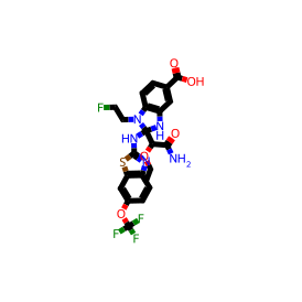 CCOC(C(N)=O)C1(Nc2nc3ccc(OC(F)(F)F)cc3s2)Nc2cc(C(=O)O)ccc2N1CCF